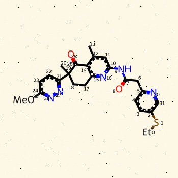 CCSc1ccc(CC(=O)Nc2cc(C)c3c(n2)CCC(C)(c2ccc(OC)nn2)C3=O)nc1